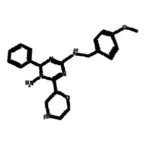 COc1ccc(CNC2=NC(c3ccccc3)N(N)C(C3CNCCO3)=N2)cc1